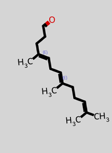 CC(C)=CCC/C(C)=C/C/C=C(\C)CCC=O